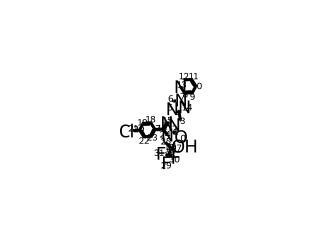 O=c1n(Cc2ncn(-c3ccccn3)n2)nc(-c2ccc(Cl)cc2)n1C[C@H](O)C(F)(F)F